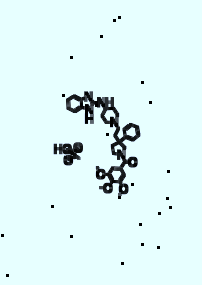 COc1cc(C(=O)N2CCC(CCN3CCC(Nc4nc5ccccc5[nH]4)CC3)(c3ccccc3)C2)cc(OC)c1OC.CS(=O)(=O)O